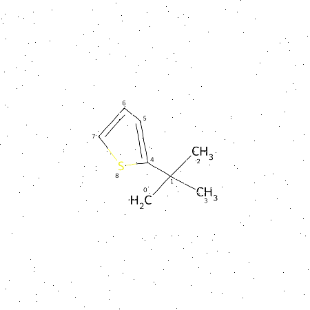 [CH2]C(C)(C)c1cccs1